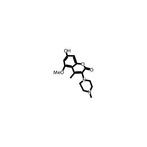 COc1cc(O)cc2oc(=O)c(N3CCN(C)CC3)c(C)c12